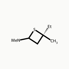 CC[C@]1(C)CC(NC)S1